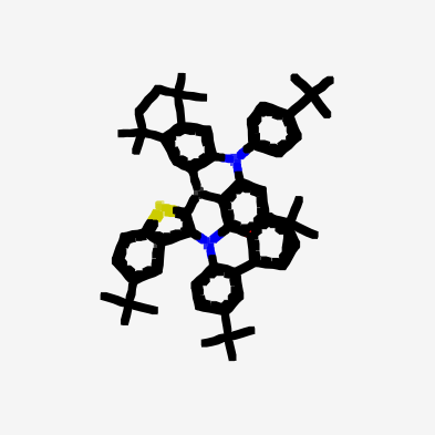 CC(C)(C)c1ccc(N2c3cc4c(cc3B3c5sc6ccc(C(C)(C)C)cc6c5N(c5ccc(C(C)(C)C)cc5-c5ccccc5)c5cc(C(C)(C)C)cc2c53)C(C)(C)CCC4(C)C)cc1